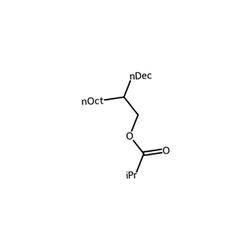 CCCCCCCCCCC(CCCCCCCC)COC(=O)C(C)C